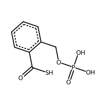 O=C(S)c1ccccc1COP(=O)(O)O